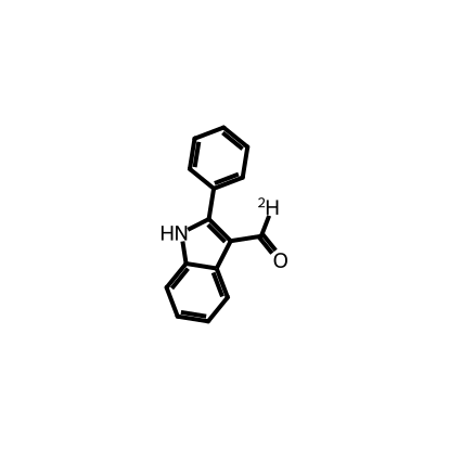 [2H]C(=O)c1c(-c2ccccc2)[nH]c2ccccc12